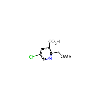 COCc1ncc(Cl)cc1C(=O)O